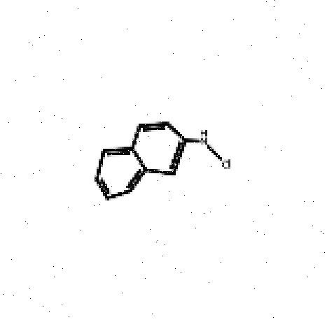 ClNc1ccc2ccccc2c1